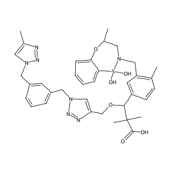 Cc1cn(Cc2cccc(Cn3cc(COC(c4ccc(C)c(CN5CC(C)Oc6ccccc6S5(O)O)c4)C(C)(C)C(=O)O)nn3)c2)nn1